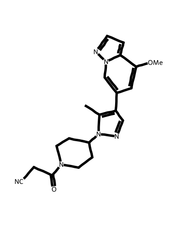 COc1cc(-c2cnn(C3CCN(C(=O)CC#N)CC3)c2C)cn2nccc12